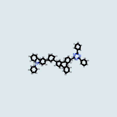 c1ccc(-c2nc(-c3ccccc3)nc(-c3ccc4c5cc(-c6cccc(-c7ccc8c(c7)c7ccccc7n8-c7ccccc7)c6)ccc5c5ccccc5c4c3)n2)cc1